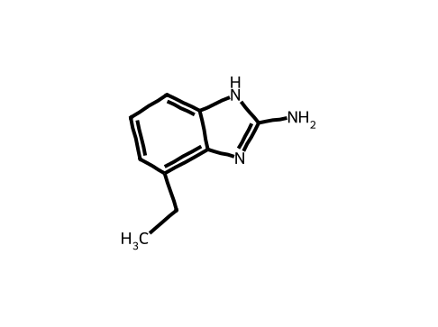 CCc1cccc2[nH]c(N)nc12